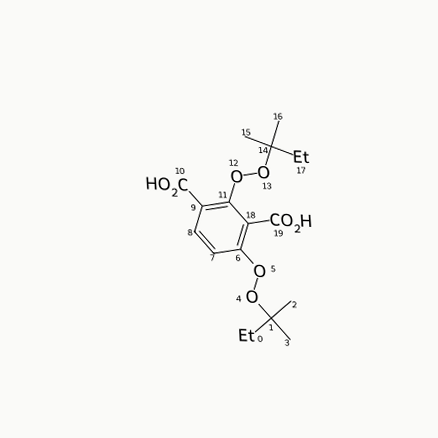 CCC(C)(C)OOc1ccc(C(=O)O)c(OOC(C)(C)CC)c1C(=O)O